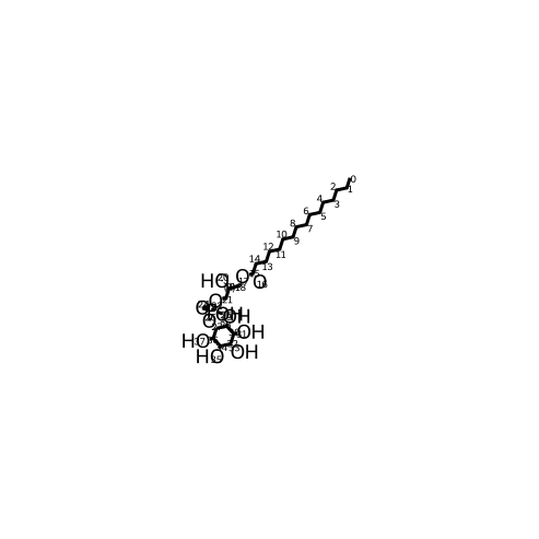 CCCCCCCCCCCCCCCC(=O)OC[C@@H](O)COP(=O)(O)OC1C(O)C(O)C(O)C(O)C1O